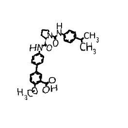 COc1ccc(-c2ccc(NC(=O)[C@H]3CCCN3C(=O)Nc3ccc(C(C)C)cc3)cc2)cc1C(=O)O